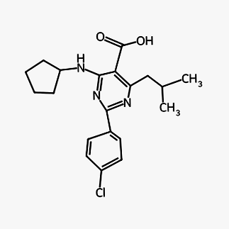 CC(C)Cc1nc(-c2ccc(Cl)cc2)nc(NC2CCCC2)c1C(=O)O